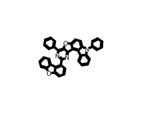 c1ccc(-c2nc(-c3cccc4oc5ccccc5c34)nc3c2oc2ccc4c(c5ccccc5n4-c4ccccc4)c23)cc1